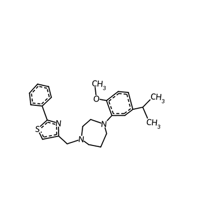 COc1ccc(C(C)C)cc1N1CCCN(Cc2csc(-c3ccccc3)n2)CC1